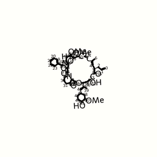 C=CC[C@@H]1/C=C(\C)C[C@H](C)C[C@H](OC)[C@H]2O[C@@](NCc3ccccc3)(C(=O)C(=O)N3CCCC[C@H]3C(=O)O[C@H](/C(C)=C/[C@@H]3CC[C@@H](O)[C@H](OC)C3)[C@H](C)[C@@H](O)CC1=O)[C@H](C)C[C@@H]2OC